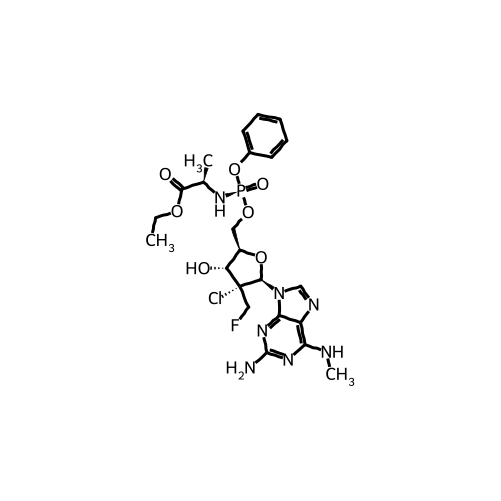 CCOC(=O)[C@@H](C)N[P@@](=O)(OC[C@H]1O[C@@H](n2cnc3c(NC)nc(N)nc32)[C@@](Cl)(CF)[C@@H]1O)Oc1ccccc1